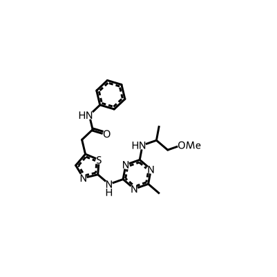 COCC(C)Nc1nc(C)nc(Nc2ncc(CC(=O)Nc3ccccc3)s2)n1